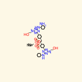 CN(CCO)c1nc(Nc2ccccc2)nc(-c2ccc(C=Cc3ccc(-c4nc(Nc5ccccc5N)nc(N(C)CCO)n4)cc3S(=O)(=O)[O-])c(S(=O)(=O)[O-])c2)n1.[Na+].[Na+]